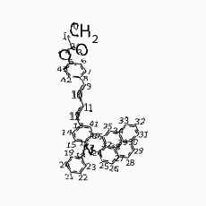 C=CC(=O)Oc1ccc(C=CC=Cc2ccc(N(c3ccccc3)c3ccc4ccc5cccc6ccc3c4c56)cc2)cc1